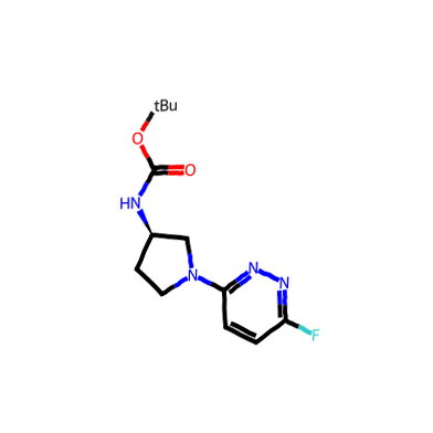 CC(C)(C)OC(=O)N[C@@H]1CCN(c2ccc(F)nn2)C1